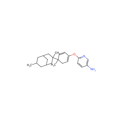 CC1CC2CC(C1)CC(C)(C1(C)C=CC(Oc3ccc(N)cn3)=CC1)C2